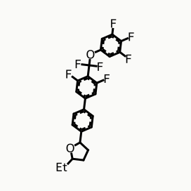 CCC1CCC(c2ccc(-c3cc(F)c(C(F)(F)Oc4cc(F)c(F)c(F)c4)c(F)c3)cc2)O1